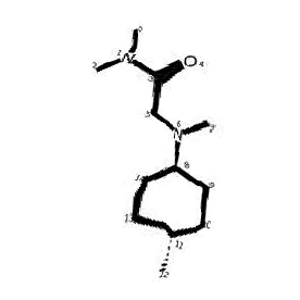 CN(C)C(=O)CN(C)[C@H]1CC[C@H](C)CC1